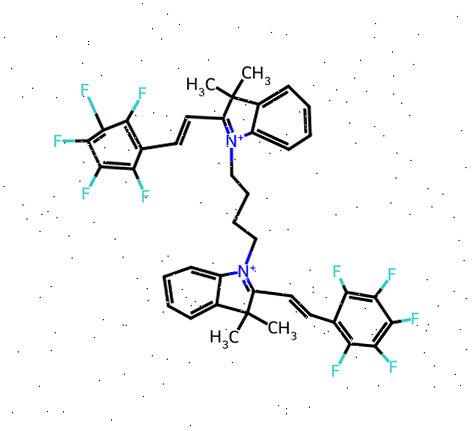 CC1(C)C(/C=C/c2c(F)c(F)c(F)c(F)c2F)=[N+](CCCC[N+]2=C(/C=C/c3c(F)c(F)c(F)c(F)c3F)C(C)(C)c3ccccc32)c2ccccc21